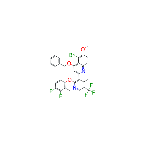 COc1ccc2nc(-c3c(Oc4ccc(F)c(F)c4C)ncc(C(F)(F)F)c3C)cc(OCc3ccccc3)c2c1Br